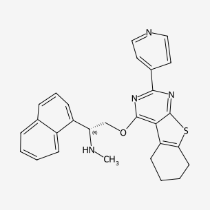 CN[C@@H](COc1nc(-c2ccncc2)nc2sc3c(c12)CCCC3)c1cccc2ccccc12